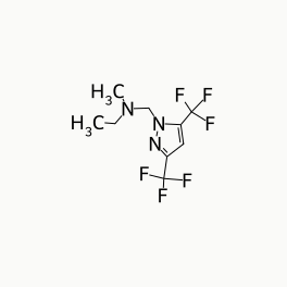 CCN(C)Cn1nc(C(F)(F)F)cc1C(F)(F)F